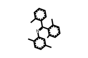 Cc1ccc(C)c(N=C(c2ccccc2C)c2c(C)cccc2C)c1